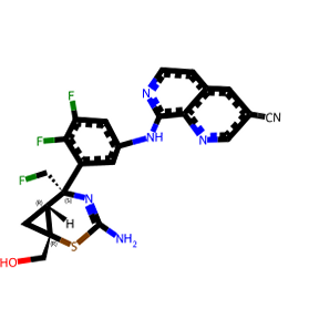 N#Cc1cnc2c(Nc3cc(F)c(F)c([C@@]4(CF)N=C(N)S[C@]5(CO)C[C@@H]54)c3)nccc2c1